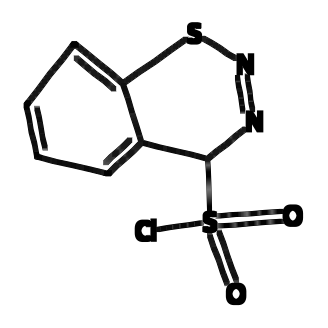 O=S(=O)(Cl)C1N=NSc2ccccc21